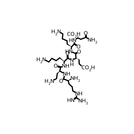 N=C(N)NCCC[C@H](N)C(=O)N[C@@H](CCN)C(=O)N[C@@H](CCCCN)C(=O)N[C@@H](CCC(=O)O)C(=O)N[C@@H](CCCCN)C(=O)N[C@@H](CC(N)=O)C(=O)O